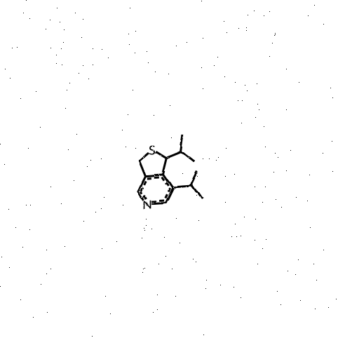 CC(C)c1cncc2c1C(C(C)C)SC2